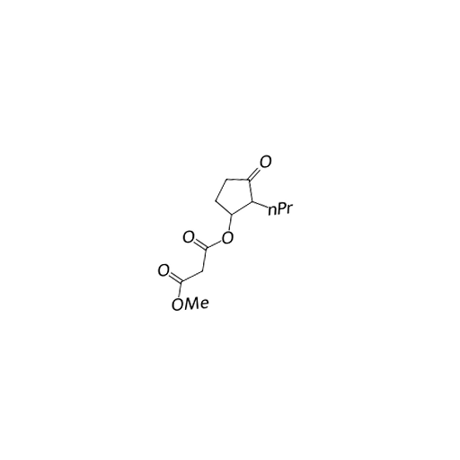 CCCC1C(=O)CCC1OC(=O)CC(=O)OC